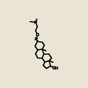 CN(C)CCON=C1CCC2(C)C(CCC3C4CCC(O)C4(C)CCC32)C1